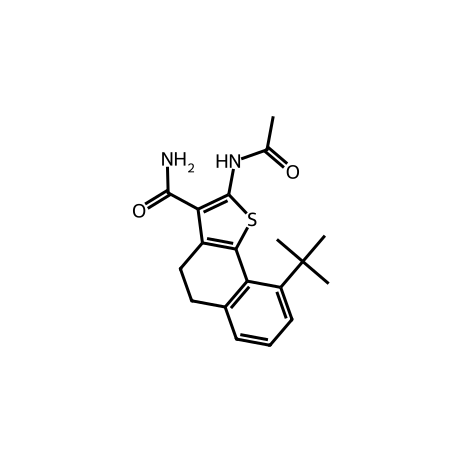 CC(=O)Nc1sc2c(c1C(N)=O)CCc1cccc(C(C)(C)C)c1-2